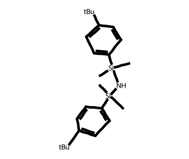 CC(C)(C)c1ccc([Si](C)(C)N[Si](C)(C)c2ccc(C(C)(C)C)cc2)cc1